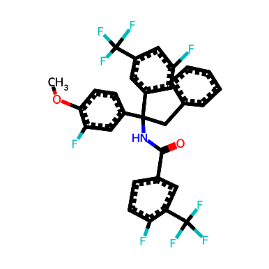 COc1ccc(C(Cc2ccccc2)(NC(=O)c2ccc(F)c(C(F)(F)F)c2)c2cc(F)cc(C(F)(F)F)c2)cc1F